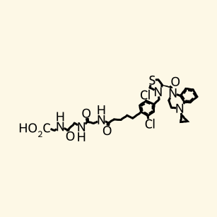 O=C(O)CNC(=O)CNC(=O)CNC(=O)CCCCc1cc(Cl)c(CN2CSC[C@H]2C(=O)N2CCN(C3CC3)c3ccccc32)cc1Cl